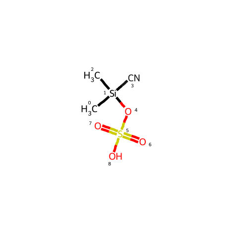 C[Si](C)(C#N)OS(=O)(=O)O